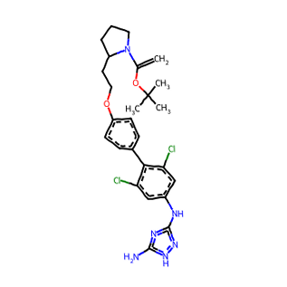 C=C(OC(C)(C)C)N1CCCC1CCOc1ccc(-c2c(Cl)cc(Nc3n[nH]c(N)n3)cc2Cl)cc1